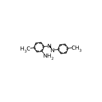 Cc1ccc(N=Nc2ccc(C)cc2N)cc1